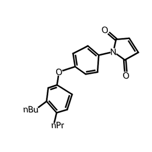 CCCCc1cc(Oc2ccc(N3C(=O)C=CC3=O)cc2)ccc1CCC